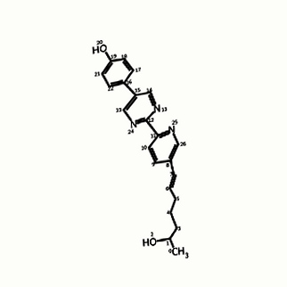 CC(O)CCCC=Cc1ccc(-c2ncc(-c3ccc(O)cc3)cn2)nc1